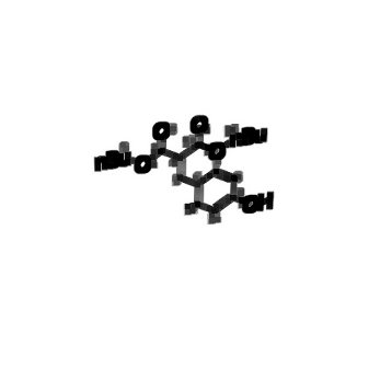 CCCCOC(=O)C(=Cc1ccc(O)cc1)C(=O)OCCCC